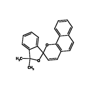 CC1(C)OC2(C=Cc3ccc4ccccc4c3O2)c2ccccc21